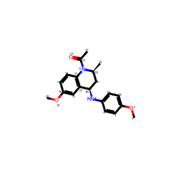 COc1ccc(N[C@@H]2C[C@H](C)N(C(C)=O)c3ccc(OC)cc32)cc1